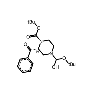 CC(C)(C)OC(=O)N1CCN(C(O)OC(C)(C)C)C[C@@H]1C(=O)c1ccccc1